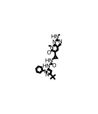 CNc1ncc2cc(C3CC3NC(=O)Nc3cc(C(C)(C)C)nn3-c3ccccc3)c(=O)n(C)c2n1